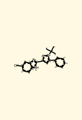 CC(C)(C)n1nc(-c2nc3cc(Cl)ccc3[nH]2)cc1-c1ccccc1